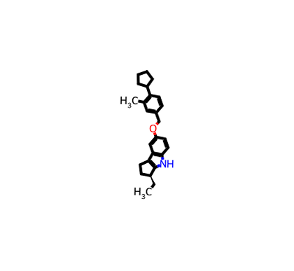 CC[C@H]1CCc2c1[nH]c1ccc(OCc3ccc(C4CCCC4)c(C)c3)cc21